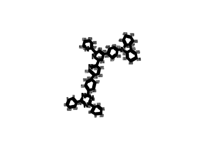 c1ccc(-c2nc(-c3ccccc3)nc(-c3ccc(-c4ccc(-c5cc(-c6ccc(-n7c8ccccc8c8ccccc87)cc6)cc(-c6ccccn6)n5)nc4)cc3)n2)cc1